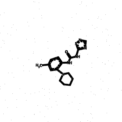 Cc1ccc(NC(=O)Nc2ncns2)c(N2CCCCC2)c1